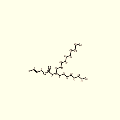 CC=CCOC(=O)CC(CCCCCCCC)CCCCCCCCCC